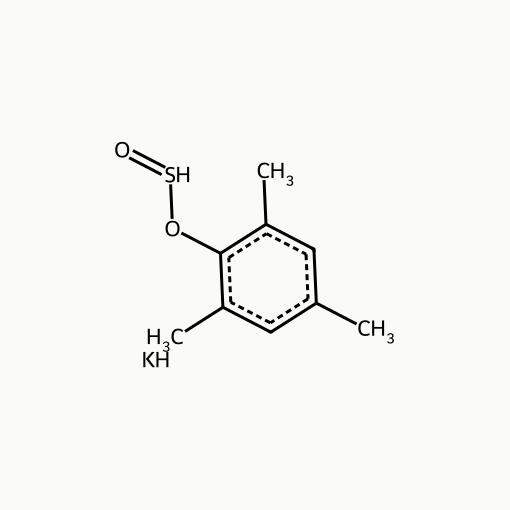 Cc1cc(C)c(O[SH]=O)c(C)c1.[KH]